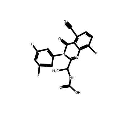 CC(NC(=O)O)c1nc2c(F)ccc(C#N)c2c(=O)n1-c1cc(F)cc(F)c1